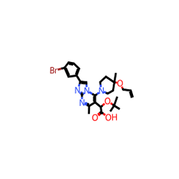 C=CCOC1(C)CCN(c2c(C(OC(C)(C)C)C(=O)O)c(C)nc3nc(-c4cccc(Br)c4)cn23)CC1